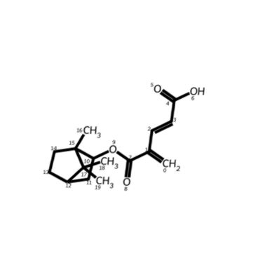 C=C(C=CC(=O)O)C(=O)OC1CC2CCC1(C)C2(C)C